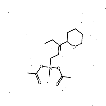 CC[SiH](CC[Si](C)(OC(C)=O)OC(C)=O)C1CCCCO1